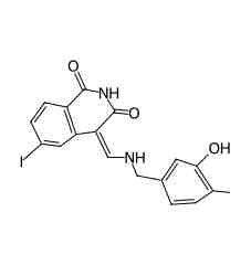 Cc1ccc(CNC=C2C(=O)NC(=O)c3ccc(I)cc32)cc1O